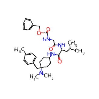 Cc1ccc(CC2(N(C)C)CCC(NC(=O)C(CC(C)C)NC(=O)CNC(=O)OCc3ccccc3)CC2)cc1